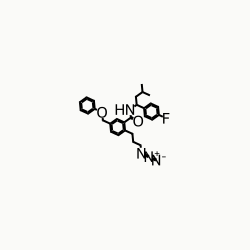 CC(C)CC(NC(=O)c1cc(COc2ccccc2)ccc1CCCN=[N+]=[N-])c1ccc(F)cc1